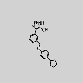 N#Cc1[nH]nnc1-c1cccc(COc2ccc(C3CCCC3)cc2)c1